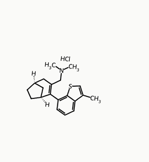 Cc1csc2c(C3=C(CN(C)C)C[C@@H]4CC[C@H]3C4)cccc12.Cl